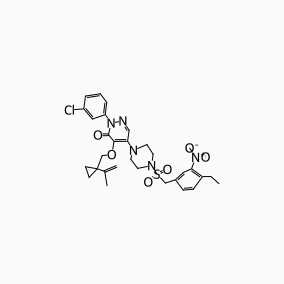 C=C(C)C1(COc2c(N3CCN(S(=O)(=O)Cc4ccc(CC)c([N+](=O)[O-])c4)CC3)cnn(-c3cccc(Cl)c3)c2=O)CC1